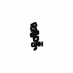 C=CC(=O)Nc1ccc(S(=O)(=O)N2CCN3CCCC3C2)cc1